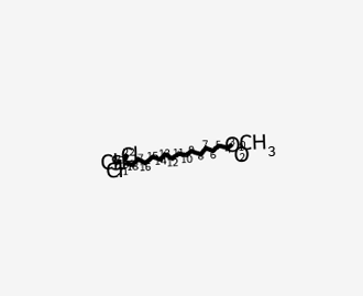 CC(=O)OCCCCCCCCCCCCCCC[Si](Cl)(Cl)Cl